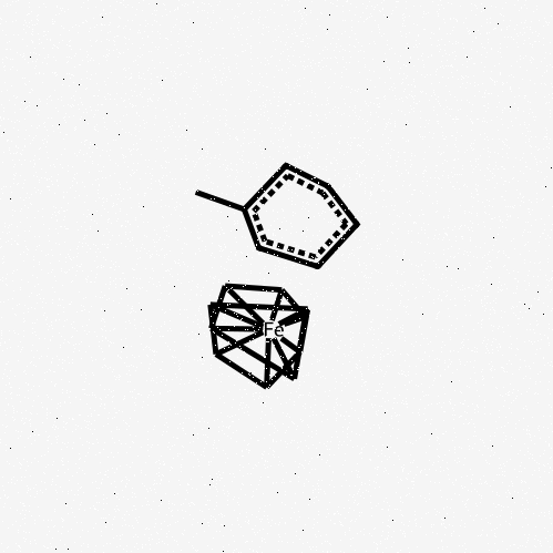 Cc1ccccc1.[CH]12[CH]3[CH]4[CH]5[CH]1[Fe]23451678[CH]2[CH]1[CH]6[CH]7[CH]28